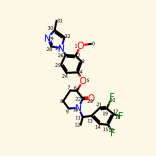 COc1cc(OC2CCCN(C(C)c3cc(F)c(F)c(F)c3)C2=O)ccc1-n1cnc(C)c1